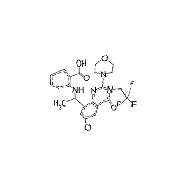 CC(Nc1ccccc1C(=O)O)c1cc(Cl)cc2c(=O)n(CC(F)(F)F)c(N3CCOCC3)nc12